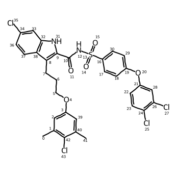 Cc1cc(OCCCc2c(C(=O)NS(=O)(=O)c3ccc(Oc4ccc(Cl)c(Cl)c4)cc3)[nH]c3cc(Cl)ccc23)cc(C)c1Cl